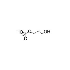 O=[Si](O)OCCCO